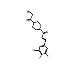 O=C(CBr)C1CCN(C(=O)/C=C/c2cc(F)c(F)c(F)c2)CC1